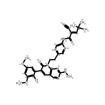 CNc1ncc2cc(-c3cc(OC)cc(OC)c3Cl)c(=O)n(CCc3cnc(NC(=O)C(C#N)=CC(C)(C)C)cn3)c2n1